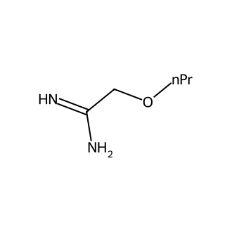 CCCOCC(=N)N